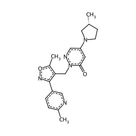 Cc1ccc(-c2noc(C)c2Cn2ncc(N3CC[C@@H](C)C3)cc2=O)cn1